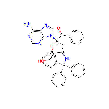 Nc1ncnc2c1ncn2[C@@]1(C(=O)c2ccccc2)C[C@H](NC(c2ccccc2)(c2ccccc2)c2ccccc2)[C@@H](CO)O1